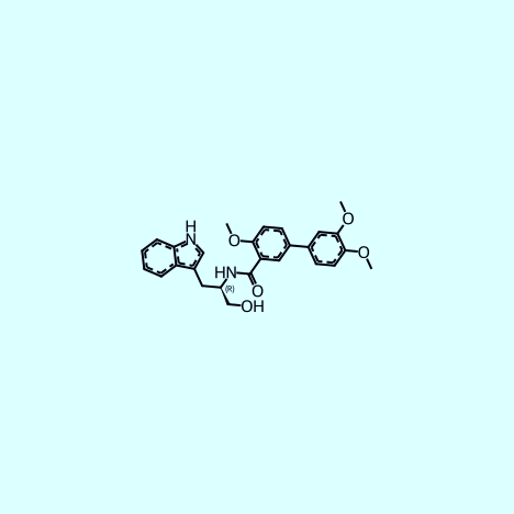 COc1ccc(-c2ccc(OC)c(C(=O)N[C@@H](CO)Cc3c[nH]c4ccccc34)c2)cc1OC